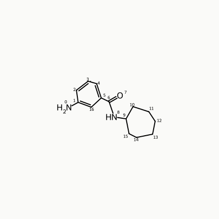 Nc1c[c]cc(C(=O)NC2CCCCCC2)c1